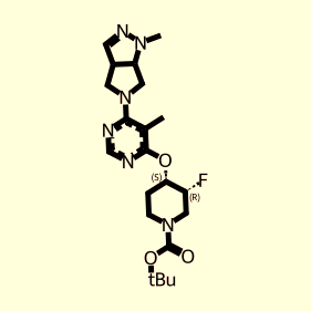 Cc1c(O[C@H]2CCN(C(=O)OC(C)(C)C)C[C@H]2F)ncnc1N1CC2C=NN(C)C2C1